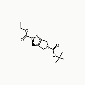 CCOC(=O)n1cc2c(n1)CN(C(=O)OC(C)(C)C)C2